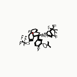 CC(C)Oc1cc([C@@](Cc2ccccc2)(NCc2ccc(F)c(C(F)(F)F)c2)c2cc(F)cc(OC(F)(F)C(F)F)c2)ccc1F